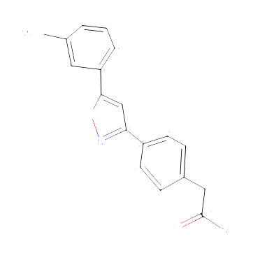 COc1cccc(-c2cc(-c3ccc(CC(N)=O)cc3)no2)c1